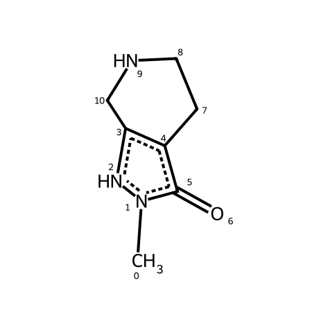 Cn1[nH]c2c(c1=O)CCNC2